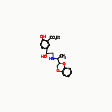 CCOC(=O)c1cc(C(O)CNC(C)C2COc3ccccc3O2)ccc1O